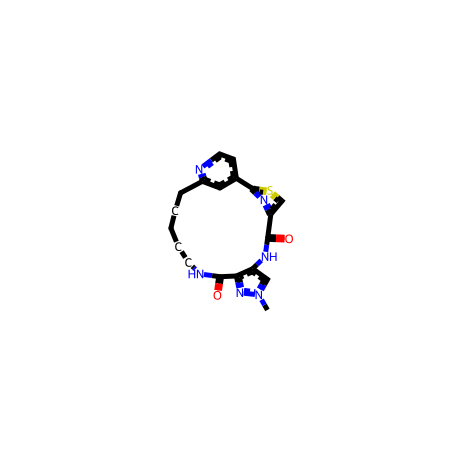 Cn1cc2c(n1)C(=O)NCCCCCc1cc(ccn1)-c1nc(cs1)C(=O)N2